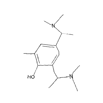 Cc1cc(C(C)N(C)C)cc(C(C)N(C)C)c1O